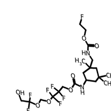 CC1(C)CC(NC(=O)OCC(F)(F)C(F)(F)OCOC(F)(F)CO)CC(C)(CNC(=O)OCCF)C1